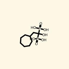 O=P(O)(O)C(O)(CC1CCCCCC1)P(=O)(O)O